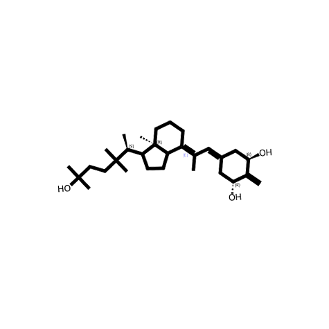 C=C1[C@H](O)CC(=C/C(C)=C2\CCC[C@@]3(C)C2CCC3[C@H](C)C(C)(C)CCC(C)(C)O)C[C@H]1O